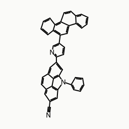 N#Cc1cc2ccc3cc(-c4ccc(-c5cc6c7ccccc7ccc6c6ccccc56)cn4)cc4c3c2c(c1)n4-c1ccccc1